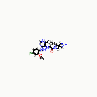 C/C(=N\c1c(C)ncnc1Nc1ccc(F)cc1OC(C)C)C(=O)N1CC2(CNC2)C1